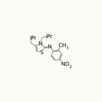 Cc1cc([N+](=O)[O-])ccc1N=c1scc(CC(C)C)n1CC(C)C